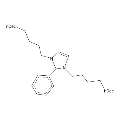 CCCCCCCCCCCCCCN1C=CN(CCCCCCCCCCCCCC)C1c1ccccc1